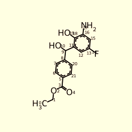 CCOC(=O)c1ccc(C(O)c2cc(F)cc(N)c2O)cc1